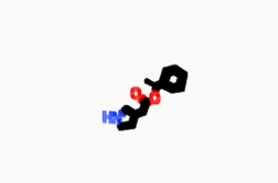 C[C@H](OC(=O)CC1CCNC1)c1ccccc1